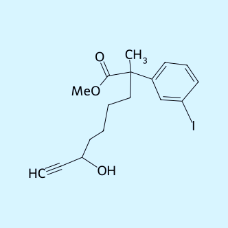 C#CC(O)CCCCC(C)(C(=O)OC)c1cccc(I)c1